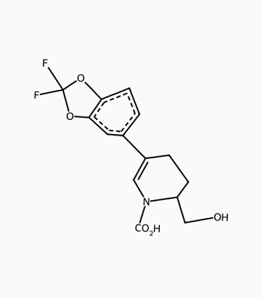 O=C(O)N1C=C(c2ccc3c(c2)OC(F)(F)O3)CCC1CO